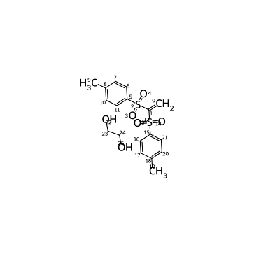 C=C(S(=O)(=O)c1ccc(C)cc1)S(=O)(=O)c1ccc(C)cc1.OCCO